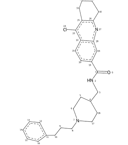 O=C(NCC1CCN(CCCc2ccccc2)CC1)c1ccc2c(Cl)c3c(nc2c1)CCCC3